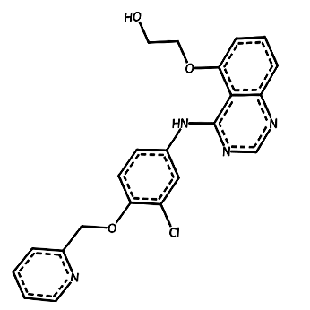 OCCOc1cccc2ncnc(Nc3ccc(OCc4ccccn4)c(Cl)c3)c12